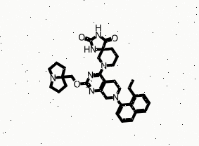 CCc1cccc2cccc(N3CCc4c(nc(OCC56CCCN5CCC6)nc4N4CCCC5(C4)NC(=O)NC5=O)C3)c12